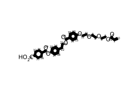 C=CC(=O)OCCOCCOCCOc1ccc(C(=O)OCCc2ccc(OC(=O)C3CCC(C(=O)O)CC3)cc2)cc1